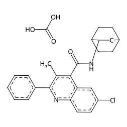 Cc1c(-c2ccccc2)nc2ccc(Cl)cc2c1C(=O)NC1CC2CCC1CC2.O=C(O)O